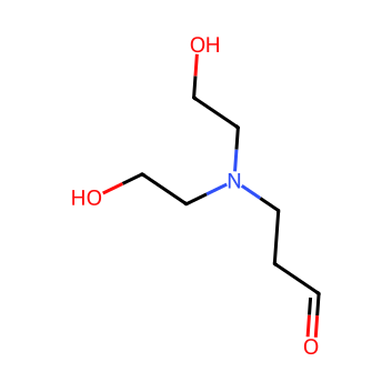 O=CCCN(CCO)CCO